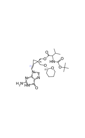 CC(C)C(NC(=O)OC(C)(C)C)C(=O)OC[C@]1(CO[C@H]2CCCCO2)C/C1=C/n1cnc2c(=O)[nH]c(N)nc21